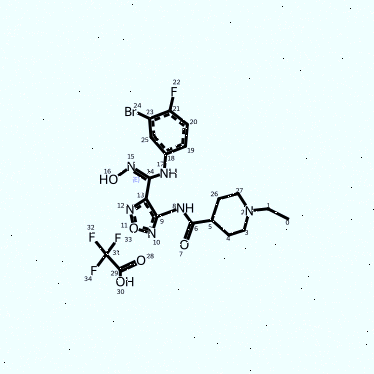 CCN1CCC(C(=O)Nc2nonc2/C(=N\O)Nc2ccc(F)c(Br)c2)CC1.O=C(O)C(F)(F)F